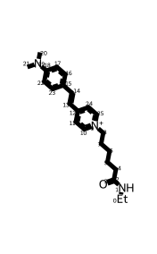 CCNC(=O)CCCCC[n+]1ccc(C=Cc2ccc(N(C)C)cc2)cc1